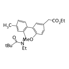 CCOC(=O)Cc1ccc(OC)c(-c2ccc(C)cc2CN(CC)C(=O)C(C)(C)C)c1